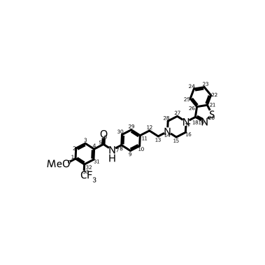 COc1ccc(C(=O)Nc2ccc(CCN3CCN(c4nsc5ccccc45)CC3)cc2)cc1C(F)(F)F